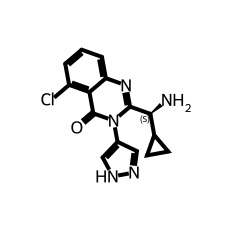 N[C@H](c1nc2cccc(Cl)c2c(=O)n1-c1cn[nH]c1)C1CC1